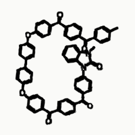 Cc1ccc(C(=O)c2ccc(C(=O)c3ccc(Oc4ccc(-c5ccc(Oc6ccc(C(=O)c7ccc(C(=O)c8ccc(-n9c(=O)n(C)c%10ccccc%109)cc8)cc7)cc6)cc5)cc4)cc3)cc2)cc1